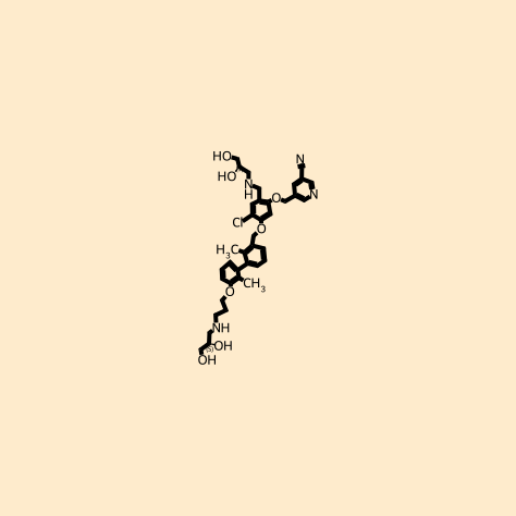 Cc1c(COc2cc(OCc3cncc(C#N)c3)c(CNC[C@H](O)CO)cc2Cl)cccc1-c1cccc(OCCCNC[C@H](O)CO)c1C